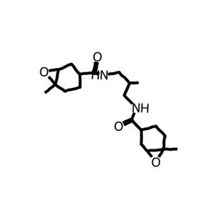 CC(CNC(=O)C1CCC2(C)OC2C1)CNC(=O)C1CCC2(C)OC2C1